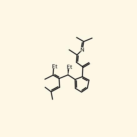 C=C(/C=C(/C)N=C(C)C)c1ccccc1[C@H](CC)/C(C=C(C)C)=C(/C)CC